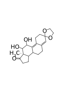 C[C@@]12C(=O)CCC1C1CCC3=CC4(CCC3=C1C(O)C2O)OCCO4